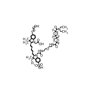 CCN(CC)C(=O)C(F)(F)OC(F)(F)C(F)(F)OC(F)(F)C(=O)NCCOCCNC(=O)CN1\C(=C/C=C/C=C/C2=[N+](CC(=O)O)c3ccc(SOOO)cc3C2(C)C)C(C)(C)c2cc(S(=O)(=O)O)ccc21